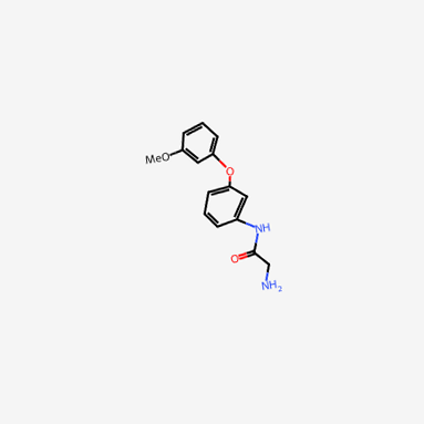 COc1cccc(Oc2cccc(NC(=O)CN)c2)c1